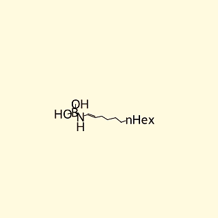 CCCCCCCCCCC=CNB(O)O